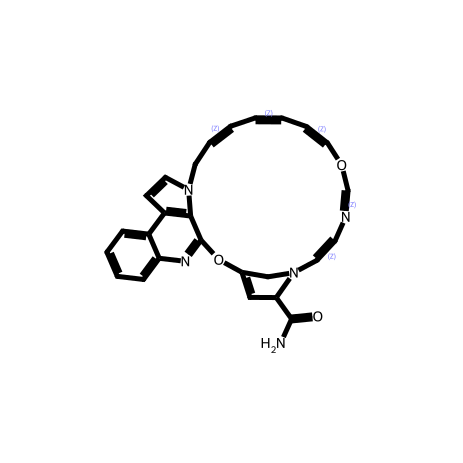 NC(=O)C1C=C2CN1/C=C\N=C/O\C=C/C=C\C=C/Cn1ccc3c4ccccc4nc(c31)O2